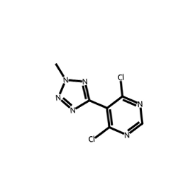 Cn1nnc(-c2c(Cl)ncnc2Cl)n1